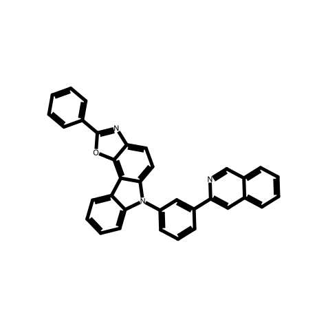 c1ccc(-c2nc3ccc4c(c5ccccc5n4-c4cccc(-c5cc6ccccc6cn5)c4)c3o2)cc1